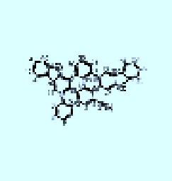 N#Cc1cc(-c2ccccc2)cc(-c2c(-c3ccc4sc5ccccc5c4c3)cccc2-c2cccc3c2oc2ccccc23)c1